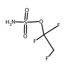 NS(=O)(=O)OC(F)(F)CF